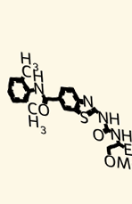 CCC(COC)NC(=O)Nc1nc2ccc(C(=O)Nc3c(C)cccc3C)cc2s1